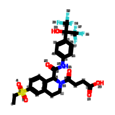 CCS(=O)(=O)c1ccc2c(c1)CCN(C(=O)CCC(=O)O)C2C(=O)Nc1ccc(C(O)(C(F)(F)F)C(F)(F)F)cc1